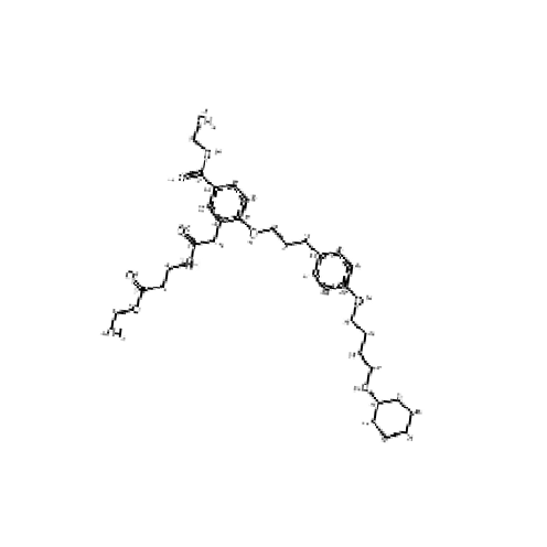 CCOC(=O)CCNC(=O)Cc1cc(C(=O)OCC)ccc1OCCCc1ccc(OCCCCOC2CCCCC2)cc1